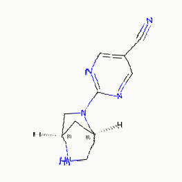 N#Cc1cnc(N2C[C@H]3C[C@@H]2CN3)nc1